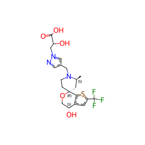 C[C@H]1C[C@@]2(CCN1Cc1cnn(CC(O)C(=O)O)c1)OC[C@@H](O)c1cc(C(F)(F)F)sc12